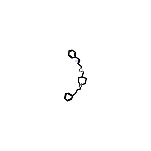 C(=C\c1ccccc1)/COCC1CCN(CCCc2ccccc2)CC1